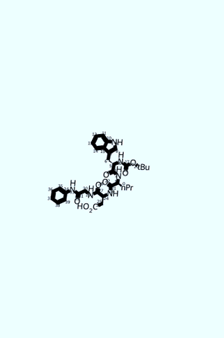 CCC[C@H](NC(=O)[C@H](Cc1c[nH]c2ccccc12)NC(=O)OC(C)(C)C)C(=O)N[C@@H](CC(=O)O)C(=O)NCC(=O)Nc1ccccc1